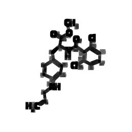 C=CCNc1ccc(C[C@H](NC(=O)c2c(Cl)cccc2Cl)C(=O)OC)cc1